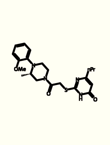 CCCc1cc(=O)[nH]c(SCC(=O)N2CCN(c3ccccc3OC)[C@@H](C)C2)n1